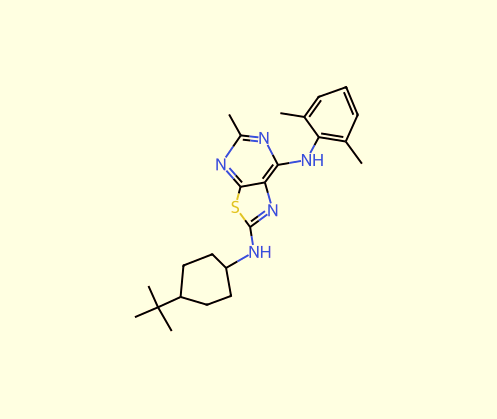 Cc1nc(Nc2c(C)cccc2C)c2nc(NC3CCC(C(C)(C)C)CC3)sc2n1